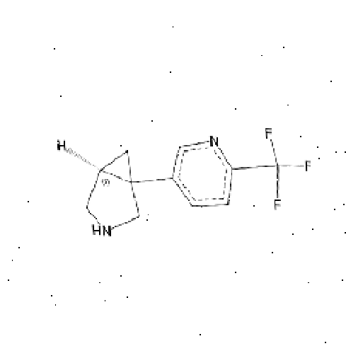 FC(F)(F)c1ccc(C23CNC[C@H]2C3)cn1